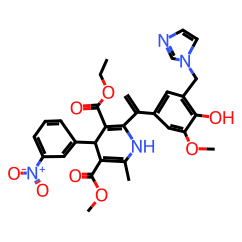 C=C(C1=C(C(=O)OCC)C(c2cccc([N+](=O)[O-])c2)C(C(=O)OC)=C(C)N1)c1cc(Cn2ccnc2)c(O)c(OC)c1